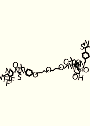 Cc1ncsc1-c1ccc(CNC(=O)[C@@H]2C[C@@H](O)CN2C(=O)[C@@H](NC(=O)COCCCOCCCCOc2ccc(N3C(=S)N(c4cnc(C#N)c(C(F)(F)F)c4)C(=O)C3(C)C)cc2)C(C)(C)C)cc1